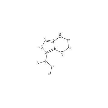 CCC(C)c1scc2c1OCCO2